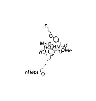 CCCCCCCC(=O)CCCCCC/C=C/[C@H](C(=O)N[C@@H](Cc1ccc(OCCCF)cc1)C(=O)OC)[C@@](O)(CCOC)C(=O)O